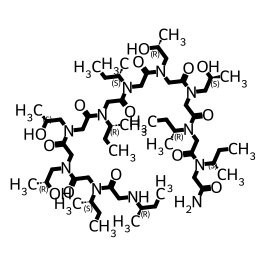 CC[C@@H](C)NCC(=O)N(CC(=O)N(CC(=O)N(CC(=O)N(CC(=O)N(CC(=O)N(CC(=O)N(CC(=O)N(CC(=O)N(CC(N)=O)[C@@H](C)CC)[C@H](C)CC)C[C@H](C)O)C[C@@H](C)O)[C@@H](C)CC)[C@H](C)CC)C[C@H](C)O)C[C@@H](C)O)[C@@H](C)CC